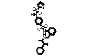 CC(NCc1ccccc1NS(=O)(=O)c1ccc(NS(=O)(=O)c2cccs2)cc1)C(F)C1CCCCC1